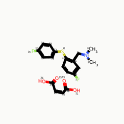 CN(C)Cc1cc(F)ccc1Sc1ccc(F)cc1.O=C(O)/C=C\C(=O)O